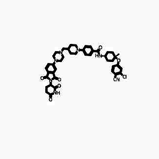 C[C@]1(Oc2ccc(C#N)c(Cl)c2)CC[C@H](NC(=O)c2ccc(N3CCC(CN4CCN(c5ccc6c(c5)C(=O)N(C5CCC(=O)NC5=O)C6=O)CC4)CC3)cc2)CC1